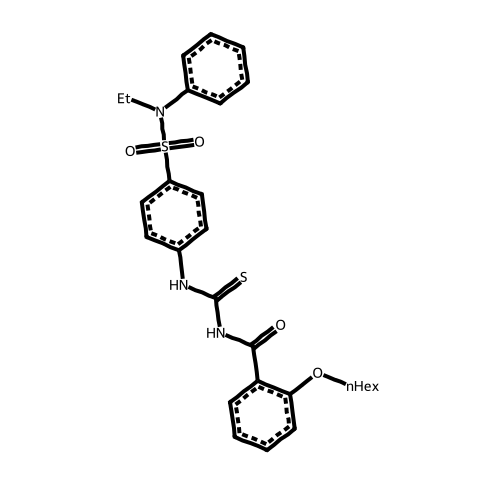 CCCCCCOc1ccccc1C(=O)NC(=S)Nc1ccc(S(=O)(=O)N(CC)c2ccccc2)cc1